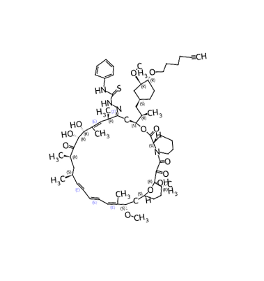 C#CCCCCO[C@@H]1CC[C@@H](C[C@@H](C)[C@@H]2C/C(=N/NC(=S)Nc3ccccc3)[C@H](C)/C=C(\C)[C@@H](O)[C@@H](O)C(=O)[C@H](C)C[C@H](C)/C=C/C=C/C=C(\C)[C@@H](OC)C[C@@H]3CC[C@@H](C)[C@@](O)(O3)C(=O)C(=O)N3CCCC[C@H]3C(=O)O2)C[C@H]1OC